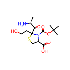 C[C@H](N)C(=O)C1(CCO)SCC(C(=O)O)N1C(=O)OC(C)(C)C